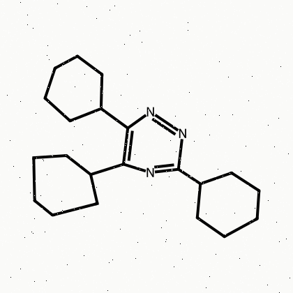 C1CCC(c2nnc(C3CCCCC3)c(C3CCCCC3)n2)CC1